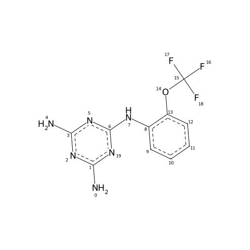 Nc1nc(N)nc(Nc2ccccc2OC(F)(F)F)n1